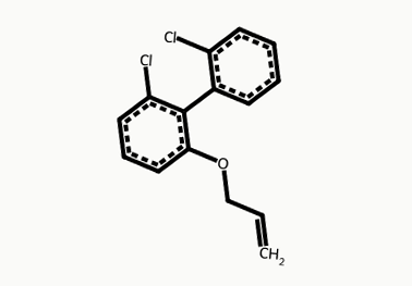 C=CCOc1cccc(Cl)c1-c1ccccc1Cl